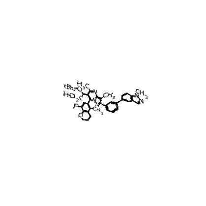 Cc1nc2c(C)c(-c3cccc(-c4ccc5c(cnn5C)c4)c3)nn2c(-c2cc(F)c3c(c2C)CCCO3)c1[C@H](OC(C)(C)C)C(=O)O